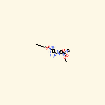 CCCCCCCCOC(=O)NC(=N)c1ccc(C(N)c2nc3cc(C(C)(C(=O)N4CCCC4)N(C)C(=O)OCCC)ccc3n2C)cc1